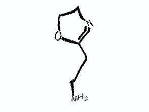 NCCC1=NCCO1